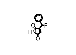 O=C1C=C(C(F)c2ccccc2)C(=O)N1